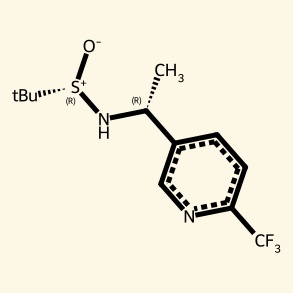 C[C@@H](N[S@@+]([O-])C(C)(C)C)c1ccc(C(F)(F)F)nc1